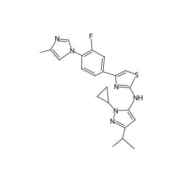 Cc1cn(-c2ccc(-c3csc(Nc4cc(C(C)C)nn4C4CC4)n3)cc2F)cn1